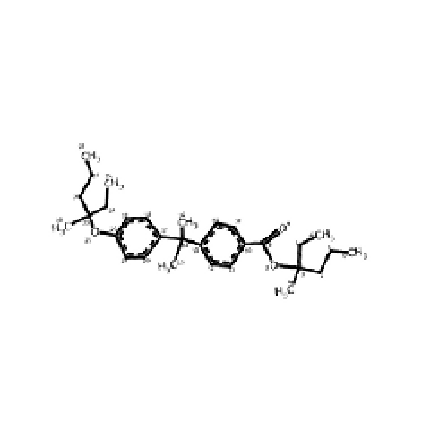 CCCC(C)(CC)OC(=O)c1ccc(C(C)(C)c2ccc(OC(C)(CC)CCC)cc2)cc1